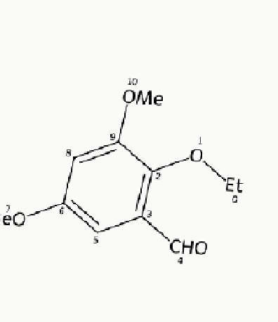 CCOc1c(C=O)cc(OC)cc1OC